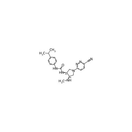 CN[C@@H]1CN(c2ccc(C#N)nn2)C[C@@H]1NC(=O)Nc1ccc(C(C)C)cc1